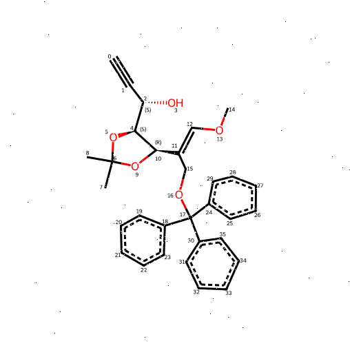 C#C[C@H](O)[C@@H]1OC(C)(C)O[C@@H]1C(=COC)COC(c1ccccc1)(c1ccccc1)c1ccccc1